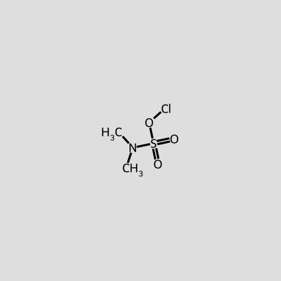 CN(C)S(=O)(=O)OCl